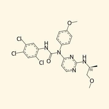 COC[C@H](C)Nc1nccc(N(C(=O)Nc2cc(Cl)c(Cl)cc2Cl)c2ccc(OC)cc2)n1